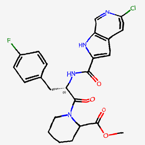 COC(=O)C1CCCCN1C(=O)[C@H](Cc1ccc(F)cc1)NC(=O)c1cc2cc(Cl)ncc2[nH]1